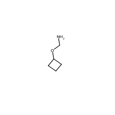 NCOC1CCC1